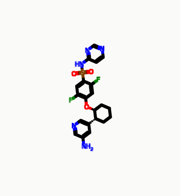 Nc1cncc([C@H]2CCCC[C@@H]2Oc2cc(F)c(S(=O)(=O)Nc3ccncn3)cc2F)c1